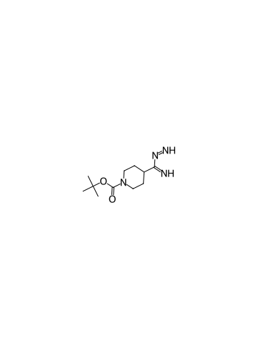 CC(C)(C)OC(=O)N1CCC(C(=N)N=N)CC1